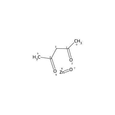 CC(=O)CC(C)=O.[O]=[Zn]